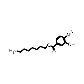 CCCCCCCCOC(=O)c1ccc([N+]#N)c(O)c1